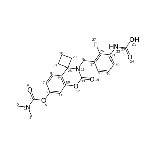 CN(C)C(=O)Oc1ccc2c(c1)OC(=O)N(Cc1cccc(NC(=O)O)c1F)C21CCC1